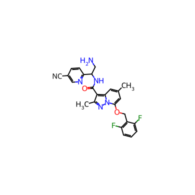 Cc1cc(OCc2c(F)cccc2F)n2nc(C)c(C(=O)NC(CN)c3ccc(C#N)cn3)c2c1